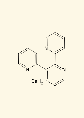 [CaH2].c1ccc(-c2cccnc2-c2ccccn2)nc1